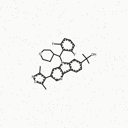 Cc1noc(C)c1-c1cnc2c3ccc(C(C)(C)O)cc3n(C(c3c(F)cccc3F)C3CCOCC3)c2c1